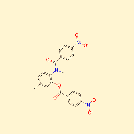 Cc1ccc(N(C)C(=O)c2ccc([N+](=O)[O-])cc2)c(OC(=O)c2ccc([N+](=O)[O-])cc2)c1